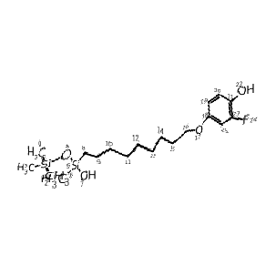 C[Si](C)(C)O[Si](C)(O)CCCCCCCCCOc1ccc(O)c(F)c1